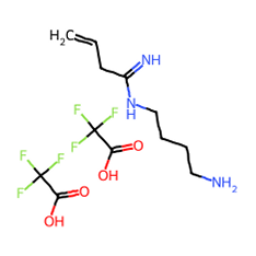 C=CCC(=N)NCCCCN.O=C(O)C(F)(F)F.O=C(O)C(F)(F)F